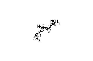 CCCOC(=O)OCCOC(=O)C(C)(C)COS(=O)(=O)CCCNC(C)=O